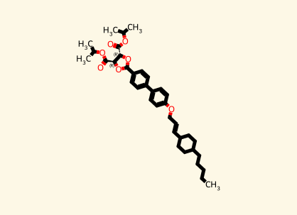 CCCCCC1CCC(C=CCOc2ccc(-c3ccc(C4O[C@@H](C(=O)OC(C)C)[C@H](C(=O)OC(C)C)O4)cc3)cc2)CC1